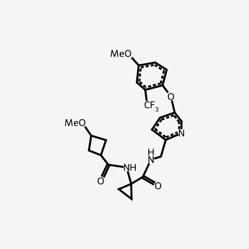 COc1ccc(Oc2ccc(CNC(=O)C3(NC(=O)C4CC(OC)C4)CC3)nc2)c(C(F)(F)F)c1